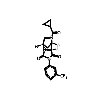 O=C1[C@H]2[C@@H]3C[C@@H](CN3C(=O)C3CC3)N2C(=O)N1c1cccc(C(F)(F)F)c1